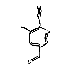 C#Cc1ncc(C=O)cc1C